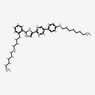 CCCCCCCCOc1ccc(-c2cnc(C3=COC(c4ccccc4CCCCOCCCCCC)O3)nc2)cc1